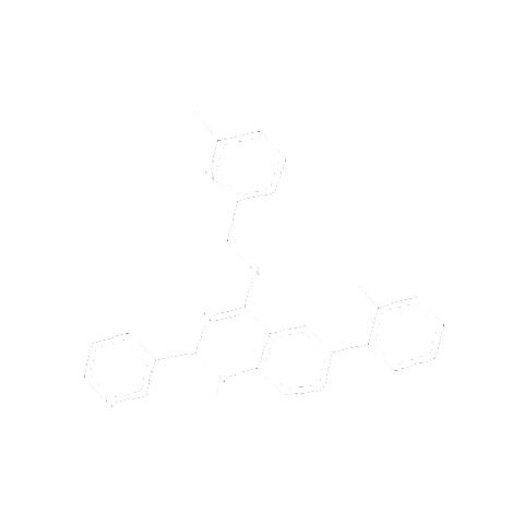 Cc1cccc(CNC2=NC(c3cccnc3)Nc3ccc(-c4ccccc4F)cc32)n1